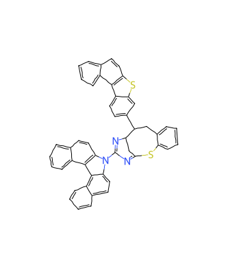 c1ccc2c(c1)CC(c1ccc3c(c1)sc1ccc4ccccc4c13)C1CC(=NC(n3c4ccc5ccccc5c4c4c5ccccc5ccc43)=N1)S2